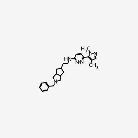 Cc1cnn(C)c1-c1ccc(NCCC2CC3CN(Cc4ccccc4)CC3C2)nn1